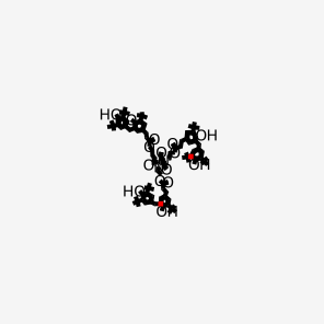 CC(C)(C)c1cc(CCC(=O)OCCn2c(=O)n(CCOC(=O)CCc3cc(Cc4cc(C(C)(C)C)c(O)c(C(C)(C)C)c4)c(O)c(C(C)(C)C)c3)c(=O)n(CCOC(=O)CCc3cc(Cc4cc(C(C)(C)C)c(O)c(C(C)(C)C)c4)c(O)c(C(C)(C)C)c3)c2=O)cc(Cc2cc(C(C)(C)C)c(O)c(C(C)(C)C)c2)c1O